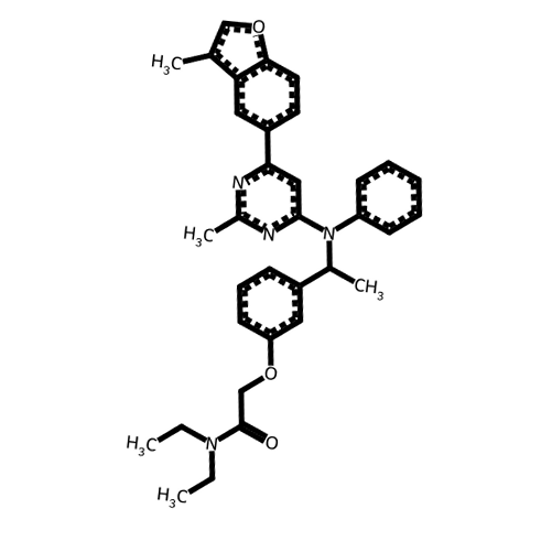 CCN(CC)C(=O)COc1cccc(C(C)N(c2ccccc2)c2cc(-c3ccc4occ(C)c4c3)nc(C)n2)c1